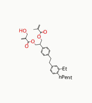 C=C(C)C(=O)OCC(COC(=O)C(=C)CO)c1ccc(CCc2ccc(CCCCC)c(CC)c2)cc1